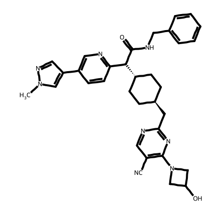 Cn1cc(-c2ccc(C(C(=O)NCc3ccccc3)[C@H]3CC[C@H](Cc4ncc(C#N)c(N5CC(O)C5)n4)CC3)nc2)cn1